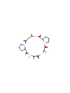 CCCN1C(=O)C2CCCN2C(=O)CC(C)OC(=O)C2CCCN2C(=O)C(C)NC(=O)C1CC